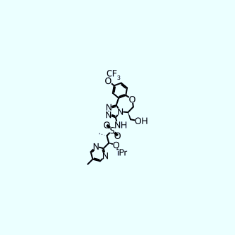 Cc1cnc([C@H](OC(C)C)[C@H](C)S(=O)(=O)Nc2nnc3n2[C@H](CO)COc2ccc(OC(F)(F)F)cc2-3)nc1